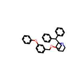 c1ccc(Oc2cccc(COC3C4CCN(CC4)C3C(c3ccccc3)c3ccccc3)c2)cc1